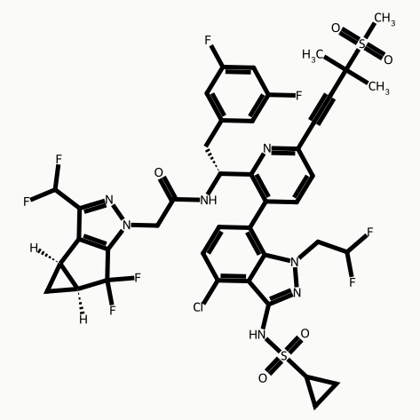 CC(C)(C#Cc1ccc(-c2ccc(Cl)c3c(NS(=O)(=O)C4CC4)nn(CC(F)F)c23)c([C@@H](Cc2cc(F)cc(F)c2)NC(=O)Cn2nc(C(F)F)c3c2C(F)(F)[C@H]2C[C@@H]32)n1)S(C)(=O)=O